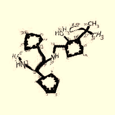 CN[C@H](c1ccccc1)C(NCc1cccc(C(C)(C)C)c1O)c1ccccc1